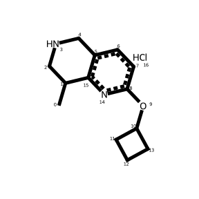 CC1CNCc2ccc(OC3CCC3)nc21.Cl